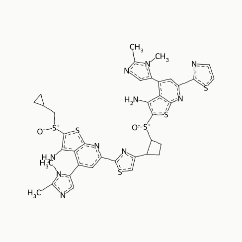 Cc1ncc(-c2cc(-c3nc(C4CCC4[S+]([O-])c4sc5nc(-c6nccs6)cc(-c6cnc(C)n6C)c5c4N)cs3)nc3sc([S+]([O-])CC4CC4)c(N)c23)n1C